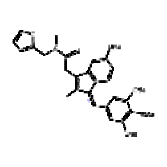 COc1ccc2c(c1)C(CC(=O)N(C)Cc1ccco1)=C(C)/C2=C/c1cc(OC)c(OC)c(OC)c1